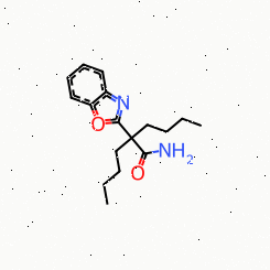 CCCCC(CCCC)(C(N)=O)c1nc2ccccc2o1